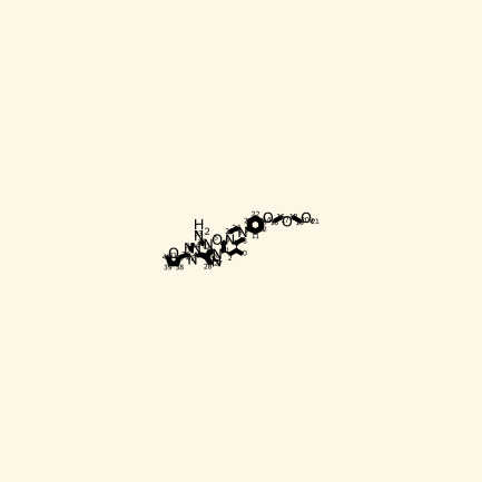 CCC[C@H](C(=O)N1CCN(c2ccc(OCCOCCOC)cc2)CC1)n1ncc2c1nc(N)n1nc(-c3ccco3)nc21